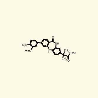 COC(=O)C(C)(C)c1ccc2c(c1)NC(=O)c1ccc(-c3ccc([N+](=O)[O-])c(OC)c3)cc1N2